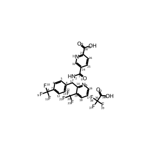 O=C(N[C@@H](c1ccc(C(F)(F)F)cc1)c1ncccc1C(F)(F)F)c1ccc(C(=O)O)nc1.O=C(O)C(F)(F)F